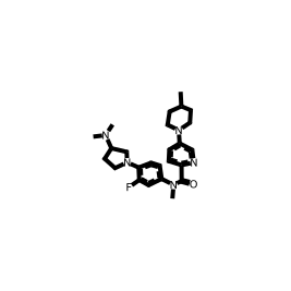 CC1CCN(c2ccc(C(=O)N(C)c3ccc(N4CCC(N(C)C)C4)c(F)c3)nc2)CC1